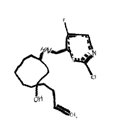 C=CCC1(O)CCCC(Nc2nc(Cl)ncc2F)C1